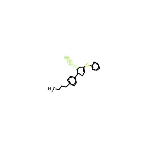 CCCCc1ccc(C2CC=C(Sc3ccccc3)CC2)cc1.F.F.F.F.F